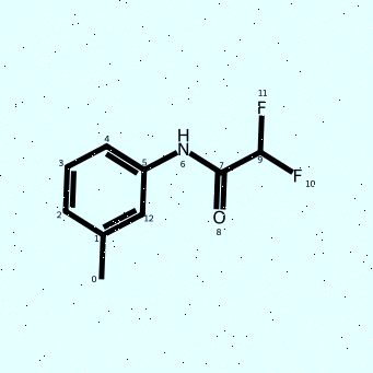 Cc1cccc(NC(=O)C(F)F)c1